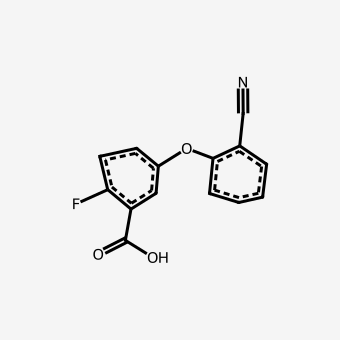 N#Cc1ccccc1Oc1ccc(F)c(C(=O)O)c1